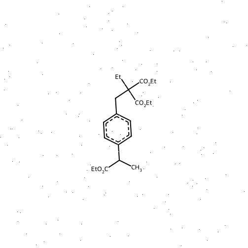 CCOC(=O)C(C)c1ccc(CC(CC)(C(=O)OCC)C(=O)OCC)cc1